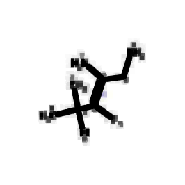 CCC(C)(C)/C(F)=C(\N)CN